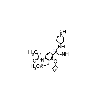 COC(=O)N1c2ccc(/C(C=N)=C/NC3CCN(C)CC3)c(OC3CCC3)c2CC[C@@H]1C